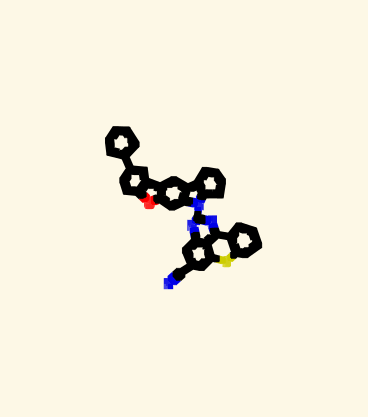 N#Cc1cc2c3c(nc(-n4c5ccccc5c5cc6c(cc54)oc4ccc(-c5ccccc5)cc46)nc3c1)-c1ccccc1S2